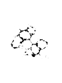 Cc1c2nccnc2c(-c2c3nccnc3c(C)c3snnc23)c2snnc12